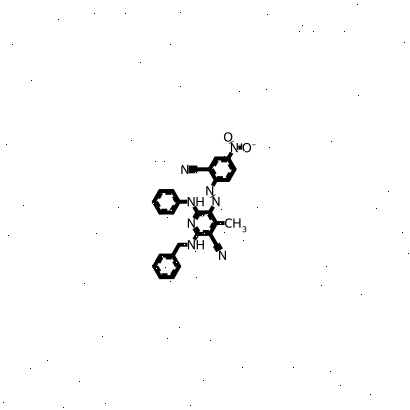 Cc1c(C#N)c(NCc2ccccc2)nc(Nc2ccccc2)c1N=Nc1ccc([N+](=O)[O-])cc1C#N